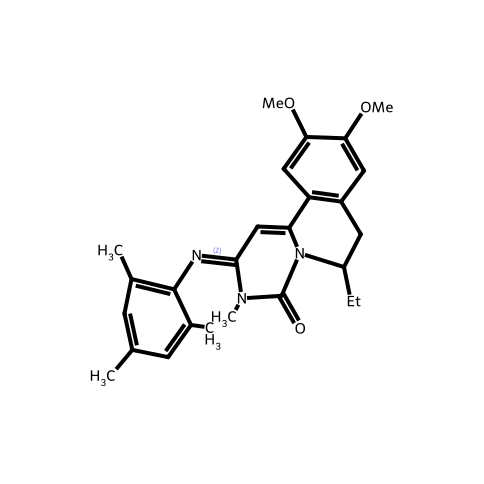 CCC1Cc2cc(OC)c(OC)cc2-c2c/c(=N/c3c(C)cc(C)cc3C)n(C)c(=O)n21